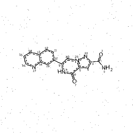 NC(=O)c1cc2c(=O)[nH]c(-c3ccc4cccnc4c3)cn2n1